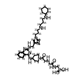 O=C(CNCC(=O)N1CCC(Nc2nc(NCc3cn(CCCNCCCNC4CCCCC4)nn3)nc3ccccc23)CC1)NCP(O)O